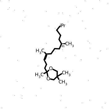 CC(=CCCC1(C)OCC(C)(C)CO1)CCC[C@H](C)CCCC(C)C